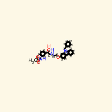 CS(=O)(=O)Nc1cccc([C@@H](O)CNCCOc2ccc3c4ccccc4n(Cc4ccccc4)c3c2)c1